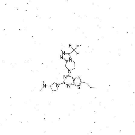 CCCc1cc2c(N3CCn4c(nnc4C(F)(F)F)C3)nc(N3CCC(N(C)C)C3)nc2s1